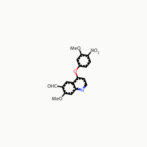 COc1cc2nccc(Oc3ccc([N+](=O)[O-])c(OC)c3)c2cc1C=O